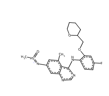 Cc1cc(/N=[SH](/C)=O)cc2ncnc(Nc3ccc(F)cc3OCC3CCCCO3)c12